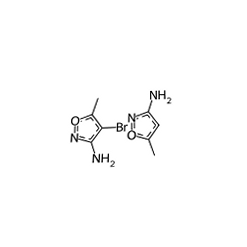 Cc1cc(N)no1.Cc1onc(N)c1Br